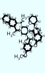 CC[C@H]1CN(C(C)c2ccc3nccnc3c2)[C@H](CC)CN1c1c2c(ccc(=O)n2Cc2ccc(OC)cc2)nn1C1CCCCO1